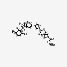 C[C@@H](Oc1cc(-c2cnn(C3CCC4(CC3)CN(C(=O)OC(C)(C)C)C4)c2)cnc1N)c1c(Cl)ccc(F)c1Cl